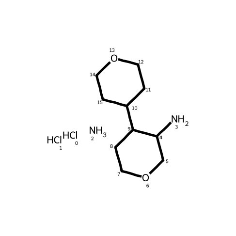 Cl.Cl.N.NC1COCCC1C1CCOCC1